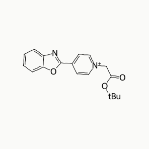 CC(C)(C)OC(=O)C[n+]1ccc(-c2nc3ccccc3o2)cc1